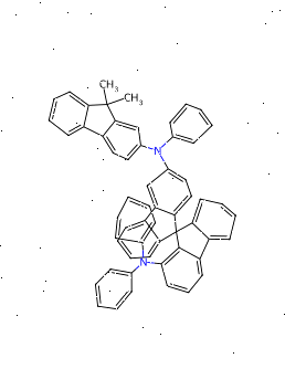 CC1(C)c2ccccc2-c2ccc(N(c3ccccc3)c3ccc4c(c3)-c3ccccc3C43c4ccccc4-c4cccc(N(c5ccccc5)c5ccccc5)c43)cc21